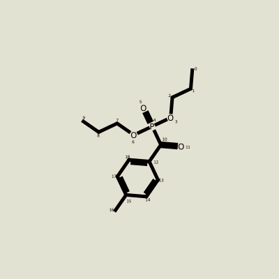 CCCOP(=O)(OCCC)C(=O)c1ccc(C)cc1